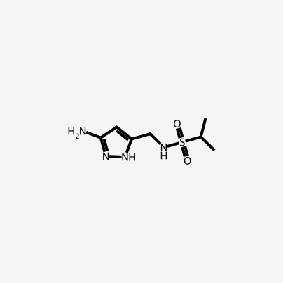 CC(C)S(=O)(=O)NCc1cc(N)n[nH]1